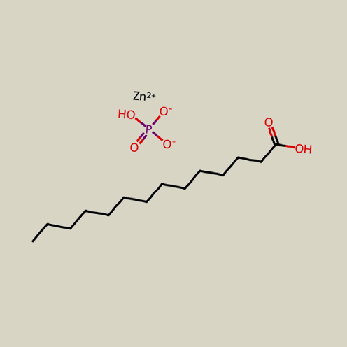 CCCCCCCCCCCCCC(=O)O.O=P([O-])([O-])O.[Zn+2]